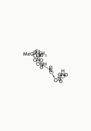 CCOc1cc(C(CS(C)(=O)=O)N2C(=O)c3cccc(NC(=O)CCCCC(=O)N4CCC(C#Cc5cccc6c5CN(C5CCC(=O)NC5=O)C6=O)CC4)c3C2=O)ccc1OC